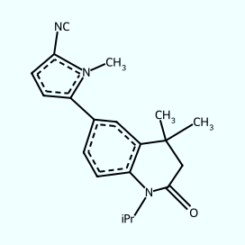 [C-]#[N+]c1ccc(-c2ccc3c(c2)C(C)(C)CC(=O)N3C(C)C)n1C